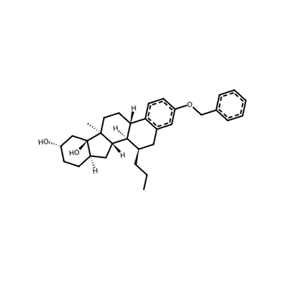 CCC[C@@H]1Cc2cc(OCc3ccccc3)ccc2[C@H]2CC[C@@]3(C)[C@@H](C[C@H]4CC[C@H](O)C[C@@]43O)[C@H]12